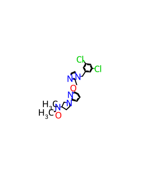 CC(=O)N(C)C1CCN(c2cccc(OCc3nccn3Cc3cc(Cl)cc(Cl)c3)n2)C1